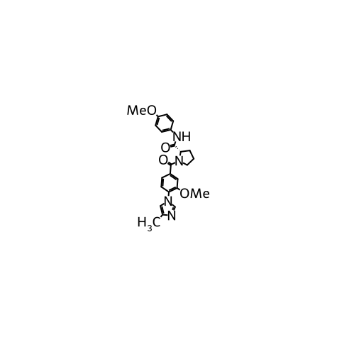 COc1ccc(NC(=O)[C@@H]2CCCN2C(=O)c2ccc(-n3cnc(C)c3)c(OC)c2)cc1